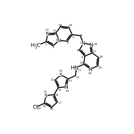 Cc1cn2cc(Cn3cc4c(NCc5nc(-c6ccc(Cl)s6)cs5)nccc4n3)ccc2n1